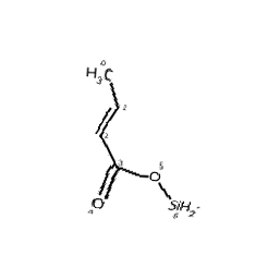 CC=CC(=O)O[SiH2]